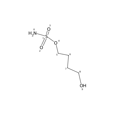 NS(=O)(=O)OCCCCO